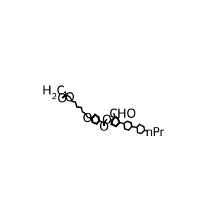 C=CC(=O)OCCCCCCOc1ccc(C(=O)Oc2ccc(C3CCC(C4CCC(CCC)CC4)CC3)cc2C=O)cc1